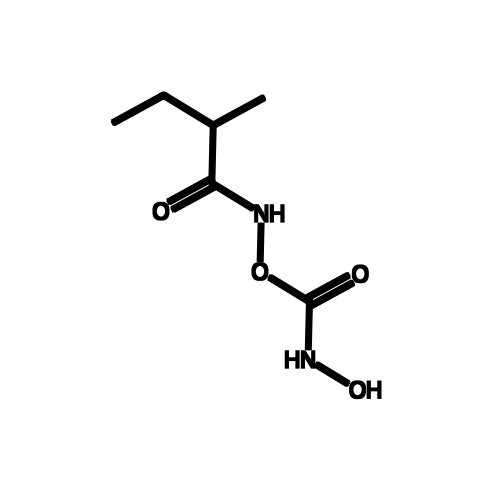 CCC(C)C(=O)NOC(=O)NO